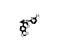 CCc1cccc(NC(=O)C2(c3ccc4c(c3)OCO4)CC2)n1